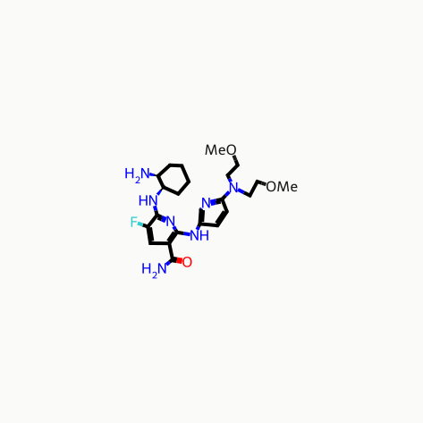 COCCN(CCOC)c1ccc(Nc2nc(N[C@@H]3CCCC[C@@H]3N)c(F)cc2C(N)=O)cn1